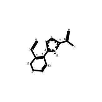 C=CC1=C(c2ccc(C(=C)C)s2)C=CCC1